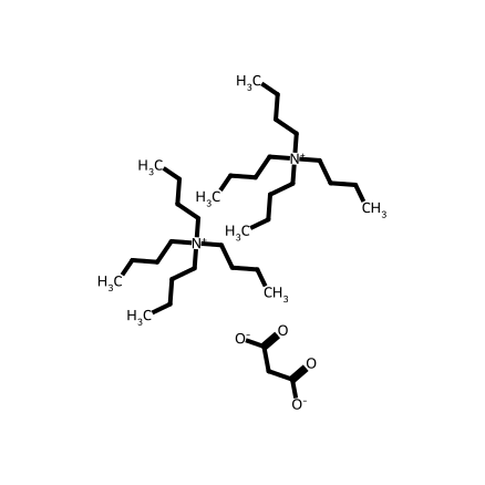 CCCC[N+](CCCC)(CCCC)CCCC.CCCC[N+](CCCC)(CCCC)CCCC.O=C([O-])CC(=O)[O-]